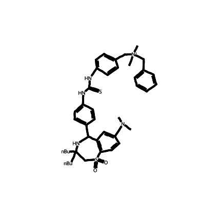 CCCCC1(CCCC)CS(=O)(=O)c2ccc(N(C)C)cc2C(c2ccc(NC(=S)Nc3ccc(C[N+](C)(C)Cc4ccccc4)cc3)cc2)N1